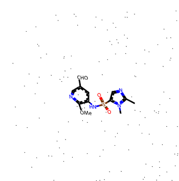 COc1ncc(C=O)cc1NS(=O)(=O)c1cnc(C)n1C